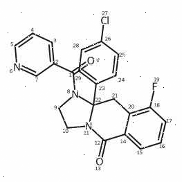 O=C(c1cccnc1)N1CCN2C(=O)c3cccc(F)c3CC12c1ccc(Cl)cc1